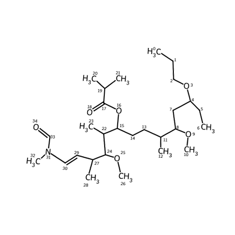 CCCOC(CC)CC(OC)C(C)CCC(OC(=O)C(C)C)C(C)C(OC)C(C)C=CN(C)C=O